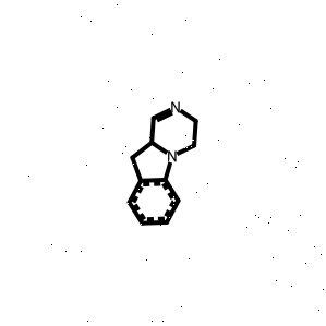 C1=NCCN2c3ccccc3CC12